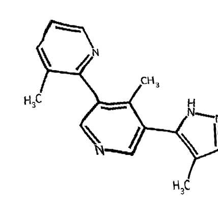 Cc1cccnc1-c1cncc(-c2[nH]ncc2C)c1C